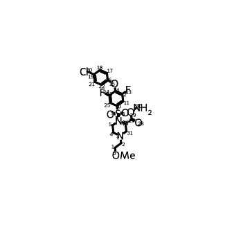 COCCN1CCN(S(=O)(=O)c2cc(F)c(Oc3ccc(Cl)cc3)c(F)c2)[C@@H](C(=O)ON)C1